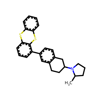 CC1CCCN1C1CCc2cc(-c3cccc4c3Sc3ccccc3S4)ccc2C1